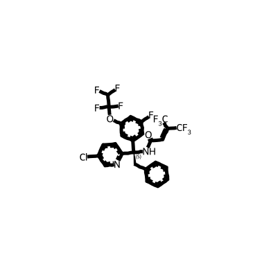 O=C(C=C(C(F)(F)F)C(F)(F)F)N[C@@](Cc1ccccc1)(c1cc(F)cc(OC(F)(F)C(F)F)c1)c1ccc(Cl)cn1